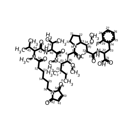 CC[C@H](C)[C@@H]([C@@H](CC(=O)N1CCCC1[C@H](OC)[C@@H](C)C(=O)NC(Cc1ccccc1F)C(=O)O)OC)N(C)C(=O)C(NC(=O)C(C(C)C)N(C)C(=O)CCCCCN1C(=O)C=CC1=O)C(C)C